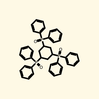 O=P(c1ccccc1)(c1ccccc1)C1CC(P(=O)(c2ccccc2)c2ccccc2)CC(P(=O)(c2ccccc2)c2ccccc2)C1